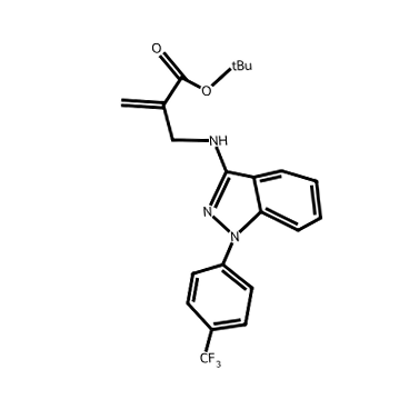 C=C(CNc1nn(-c2ccc(C(F)(F)F)cc2)c2ccccc12)C(=O)OC(C)(C)C